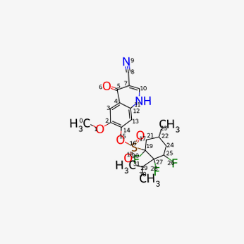 COc1cc2c(=O)c(C#N)c[nH]c2cc1OS(=O)(=O)C1(F)CC(C)CC(F)C1(F)C(C)C